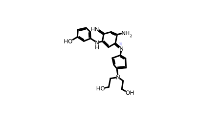 N=C1C=C(N)/C(=N/c2ccc(N(CCO)CCO)cc2)C=C1Nc1cccc(O)c1